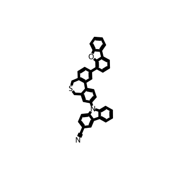 N#Cc1ccc2c(c1)c1ccccc1n2-c1ccc2c(c1)CSCc1ccc(-c3cccc4c3oc3ccccc34)cc1-2